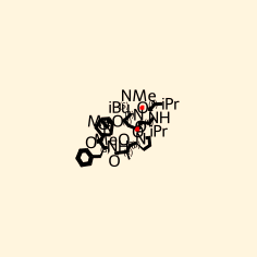 CC[C@H](C)[C@@H]([C@@H](CC(=O)N1CCC[C@H]1[C@H](OC)[C@@H](C)C(=O)N[C@@H](Cc1ccccc1)C(=O)N1OC2C=CC1CC2)OC)N(C)C(=O)[C@@H](NC(=O)[C@@H](NC)C(C)C)C(C)C